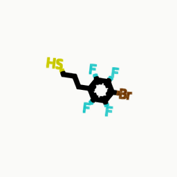 Fc1c(F)c(CCCS)c(F)c(F)c1Br